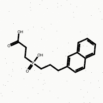 O=C(O)CCP(=O)(O)CCCc1ccc2ccccc2c1